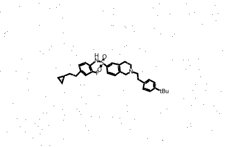 CC(C)(C)c1ccc(CCN2CCc3cc(S(=O)(=O)Nc4ccc(CCC5CC5)cc4F)ccc3C2)cc1